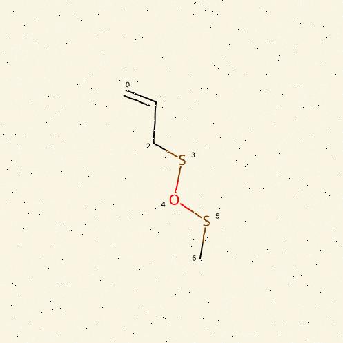 C=CCSOSC